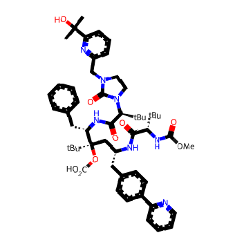 COC(=O)N[C@H](C(=O)N[C@H](Cc1ccc(-c2ccccn2)cc1)C[C@@](OC(=O)O)([C@H](Cc1ccccc1)NC(=O)[C@@H](N1CCN(Cc2cccc(C(C)(C)O)n2)C1=O)C(C)(C)C)C(C)(C)C)C(C)(C)C